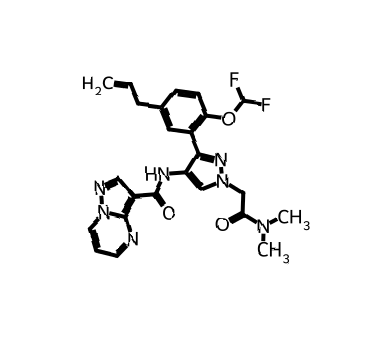 C=CCc1ccc(OC(F)F)c(-c2nn(CC(=O)N(C)C)cc2NC(=O)c2cnn3cccnc23)c1